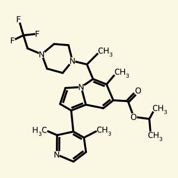 Cc1ccnc(C)c1-c1ccn2c(C(C)N3CCN(CC(F)(F)F)CC3)c(C)c(C(=O)OC(C)C)cc12